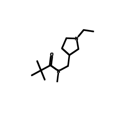 CCN1CCC(CN(C)C(=O)C(C)(C)C)C1